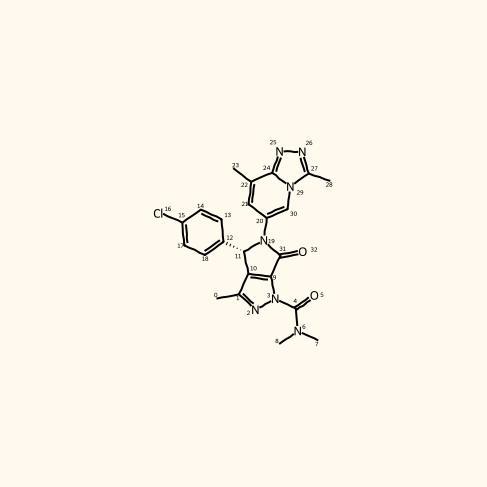 Cc1nn(C(=O)N(C)C)c2c1[C@H](c1ccc(Cl)cc1)N(c1cc(C)c3nnc(C)n3c1)C2=O